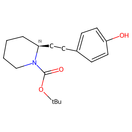 CC(C)(C)OC(=O)N1CCCC[C@H]1CCc1ccc(O)cc1